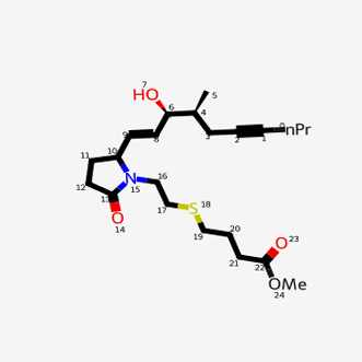 CCCC#CC[C@H](C)[C@H](O)C=CC1CCC(=O)N1CCSCCCC(=O)OC